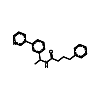 CC(NC(=O)CCCc1ccccc1)c1cccc(-c2cccnc2)c1